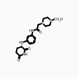 O=C1CC[C@H](Nc2cccc(NC(=O)CN3CCN(C(=O)O)CC3)c2)C(=O)N1